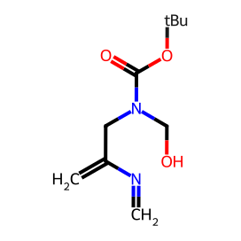 C=NC(=C)CN(CO)C(=O)OC(C)(C)C